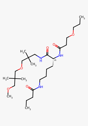 CCCOCCC(=O)N[C@H](CCCCNC(=O)CCC)C(=O)NCC(C)(C)COCC(C)(C)COC